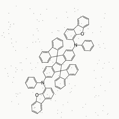 c1ccc(N(c2ccc3c(c2)C2(C4=C3C3(c5cc(N(c6ccccc6)c6cccc7c6oc6ccccc67)ccc54)c4ccccc4-c4ccccc43)c3ccccc3-c3ccccc32)c2cccc3c2oc2ccccc23)cc1